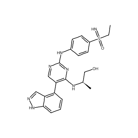 CCS(=N)(=O)c1ccc(Nc2ncc(-c3cccc4[nH]ncc34)c(N[C@H](C)CO)n2)cc1